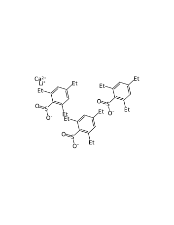 CCc1cc(CC)c(S(=O)[O-])c(CC)c1.CCc1cc(CC)c(S(=O)[O-])c(CC)c1.CCc1cc(CC)c(S(=O)[O-])c(CC)c1.[Ca+2].[Li+]